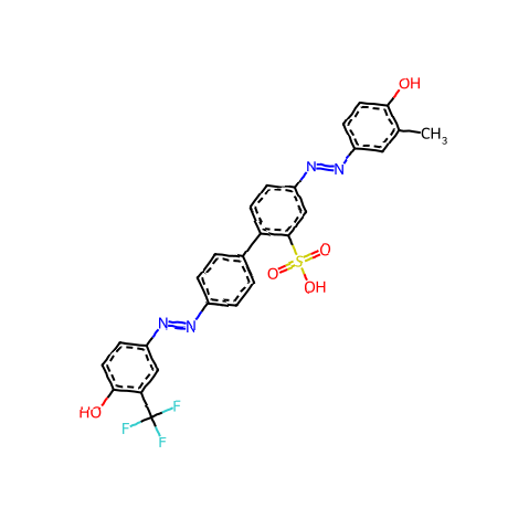 Cc1cc(N=Nc2ccc(-c3ccc(N=Nc4ccc(O)c(C(F)(F)F)c4)cc3)c(S(=O)(=O)O)c2)ccc1O